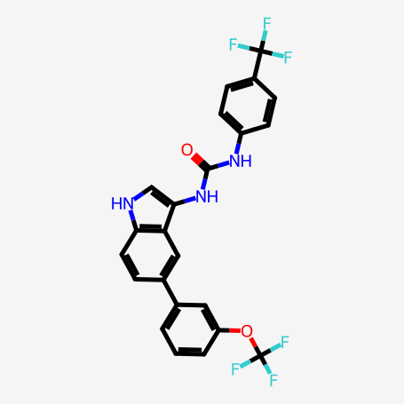 O=C(Nc1ccc(C(F)(F)F)cc1)Nc1c[nH]c2ccc(-c3cccc(OC(F)(F)F)c3)cc12